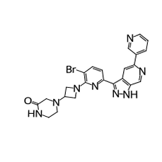 O=C1CN(C2CN(c3nc(-c4n[nH]c5cnc(-c6cccnc6)cc45)ccc3Br)C2)CCN1